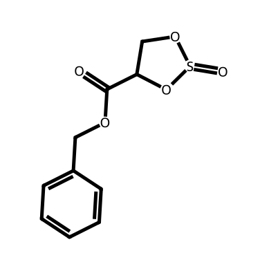 O=C(OCc1ccccc1)C1COS(=O)O1